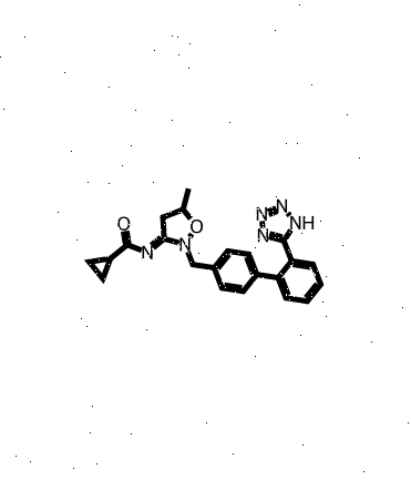 CC1CC(=NC(=O)C2CC2)N(Cc2ccc(-c3ccccc3-c3nnn[nH]3)cc2)O1